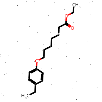 CCOC(=O)CCCCCCOc1ccc(CC)cc1